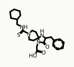 O=C(O)CN1C(=O)C(Cc2ccccc2)NC12CCN(C(=S)NCC1CCCCC1)CC2